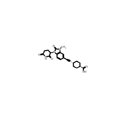 Cn1c(=O)n(C2CCC(=O)NC2=O)c2ccc(C#C[C@H]3CC[C@H](C(=O)O)CC3)cc21